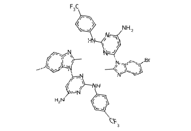 Cc1ccc2nc(C)n(-c3cc(N)nc(Nc4ccc(C(F)(F)F)cc4)n3)c2c1.Cc1nc2ccc(Br)cc2n1-c1cc(N)nc(Nc2ccc(C(F)(F)F)cc2)n1